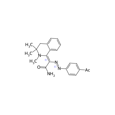 CC(=O)c1ccc(/N=N/C(C(N)=O)=C2\c3ccccc3CC(C)(C)N2C)cc1